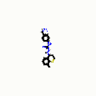 Cc1cccc2c1SCCC2N=NC(=N)Nc1ccc(CN)cc1